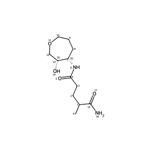 CC(C[CH]C(=O)N[C@H]1CCCOC[C@H]1O)C(N)=O